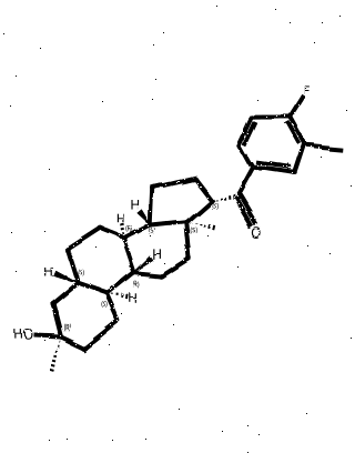 Cc1cc(C(=O)[C@H]2CC[C@H]3[C@@H]4CC[C@H]5C[C@](C)(O)CC[C@@H]5[C@H]4CC[C@]23C)ccc1F